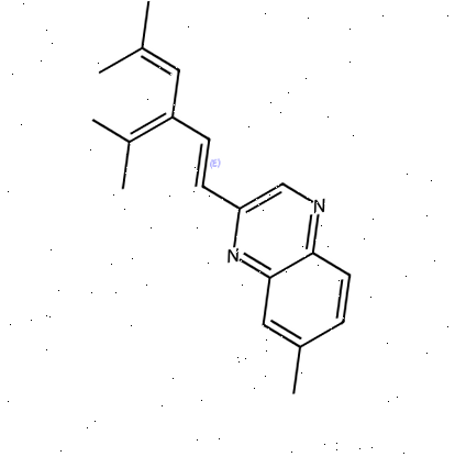 CC(C)=CC(/C=C/c1cnc2ccc(C)cc2n1)=C(C)C